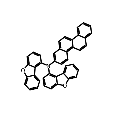 c1ccc2c(c1)ccc1c3ccc(N(c4cccc5oc6ccccc6c45)c4cccc5oc6ccccc6c45)cc3ccc21